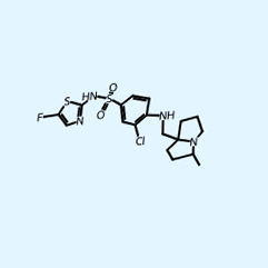 CC1CCC2(CNc3ccc(S(=O)(=O)Nc4ncc(F)s4)cc3Cl)CCCN12